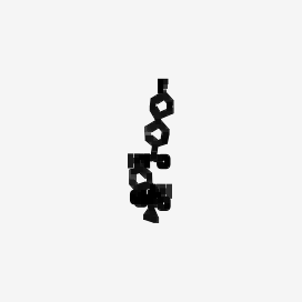 O=C(Nc1ccc(O)c(NS(=O)(=O)C2CC2)c1)c1ccc(-c2ccc(F)cc2)cc1